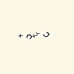 CC(COc1ccc(S)cn1)CC(C)(C)c1ccc(OCC(C)(C)C)nc1